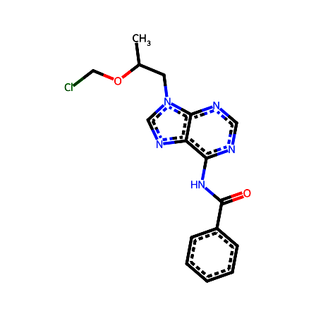 CC(Cn1cnc2c(NC(=O)c3ccccc3)ncnc21)OCCl